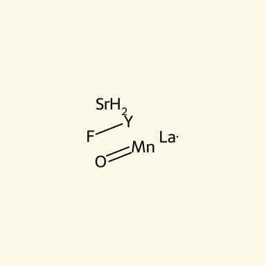 [F][Y].[La].[O]=[Mn].[SrH2]